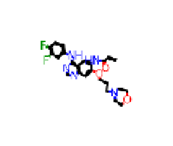 C=CC(=O)Nc1cc2c(Nc3ccc(F)c(F)c3)ncnc2cc1OCCCN1CCOCC1